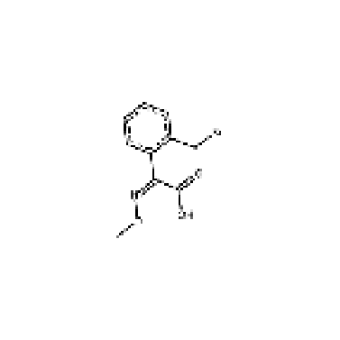 CO/N=C(\C(=O)O)c1ccccc1CBr